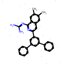 Cc1cc2cc(-c3cc(-c4ccccc4)cc(-c4ccccc4)c3)nc(N=C(N)N)c2cc1C